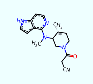 C[C@@H]1CCN(C(=O)CC#N)CC1N(C)c1nccc2[nH]ccc12